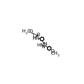 COCCOC(=O)Nc1cccc(-c2nc(-c3ccc(OC)cc3)n[nH]2)c1